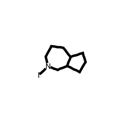 IN1CCCC2CCCC2C1